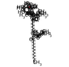 CCCCCCCCCCCCCCCC(=O)OC[C@@H](COP(=O)(O)OCC[N+](C)(C)C)OC(=O)CCCCCCCC(=O)O[C@@H](C(=O)OC1CC2[C@@H](OC(=O)c3ccccc3)[C@@H]3[C@]4(OC(C)=O)CO[C@@H]4C[C@H](O)[C@@]3(C)C(=O)[C@H](O)C(=C1C)C2(C)C)[C@@H](NC(=O)OC(C)(C)C)c1ccccc1